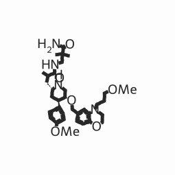 COCCCN1CCOc2ccc(CO[C@H]3CN[C@@H](CC(C)C(=O)NCC(C)(C)C(N)=O)C[C@@H]3c3ccc(OC)cc3)cc21